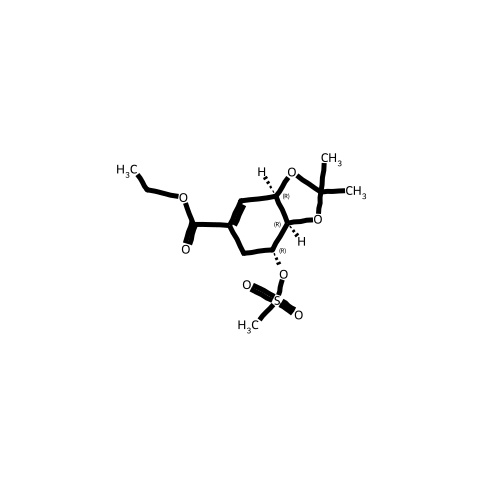 CCOC(=O)C1=C[C@H]2OC(C)(C)O[C@H]2[C@H](OS(C)(=O)=O)C1